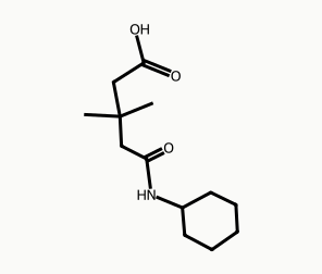 CC(C)(CC(=O)O)CC(=O)NC1CCCCC1